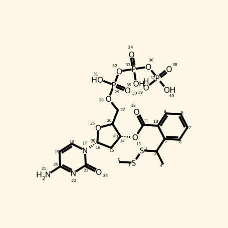 CSSC(C)c1ccccc1C(=O)O[C@@H]1C[C@H](n2ccc(N)nc2=O)OC1COP(=O)(O)OP(=O)(O)OP(=O)(O)O